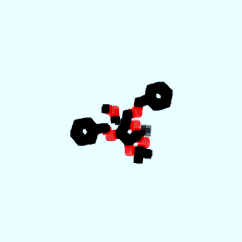 COC[C@]1(COCc2ccccc2)O[C@H]2OC(C)(C)OC2C1OCc1ccccc1